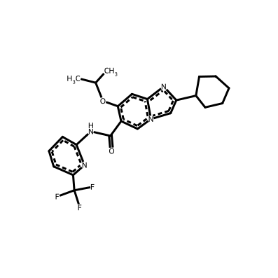 CC(C)Oc1cc2nc(C3CCCCC3)cn2cc1C(=O)Nc1cccc(C(F)(F)F)n1